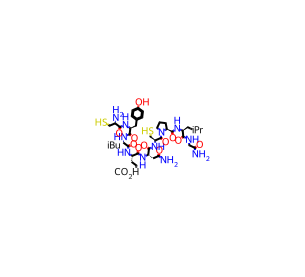 CC[C@H](C)[C@H](NC(=O)[C@H](Cc1ccc(O)cc1)NC(=O)[C@@H](N)CS)C(=O)N[C@@H](CCC(=O)O)C(=O)N[C@@H](CC(N)=O)C(=O)N[C@@H](CS)C(=O)N1CCC[C@H]1C(=O)N[C@@H](CC(C)C)C(=O)NCC(N)=O